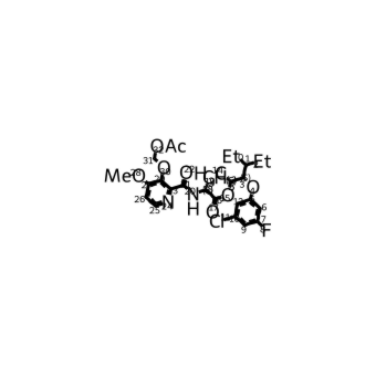 CCC(CC)[C@H](Oc1cc(F)cc(Cl)c1)[C@H](C)OC(=O)[C@H](C)NC(=O)c1nccc(OC)c1OCOC(C)=O